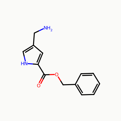 NCc1c[nH]c(C(=O)OCc2ccccc2)c1